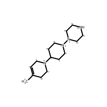 CC1=CCN(C2CCN(N3CCNCC3)CC2)CC1